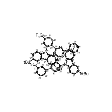 CC(C)(C)c1ccc2c(c1)c1cc(C(C)(C)C)ccc1n2-c1ccc(-c2cccc(C#N)c2)cc1-c1nc(-c2ccccc2)nc(-c2ccc(C(F)(F)F)cc2-n2c3ccc(C(C)(C)C)cc3c3cc(C(C)(C)C)ccc32)n1